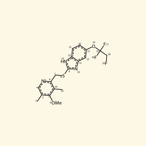 COc1c(C)cnc(CSc2nc3cc(OC(F)(F)CF)ccc3[nH]2)c1C